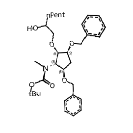 CCCCCC(O)CO[C@@H]1[C@@H](N(C)C(=O)OC(C)(C)C)[C@H](OCc2ccccc2)C[C@@H]1OCc1ccccc1